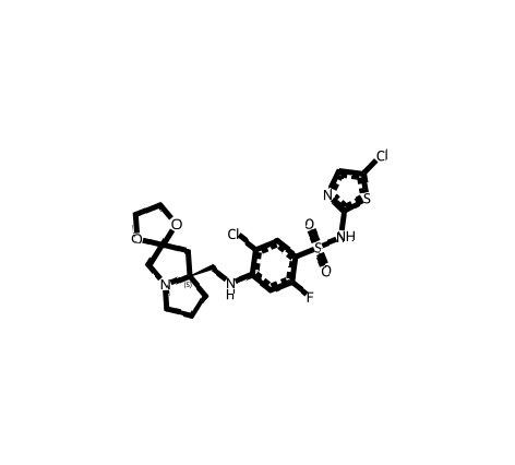 O=S(=O)(Nc1ncc(Cl)s1)c1cc(Cl)c(NC[C@@]23CCCN2CC2(C3)OCCO2)cc1F